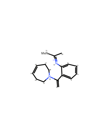 C=C(c1ccccc1/N=C(\C)NC)N1CCC=CCC1